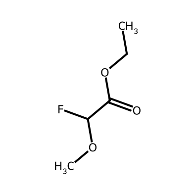 CCOC(=O)C(F)OC